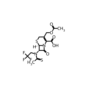 CC(=O)OCC1=C(C(=O)O)N2C(=O)[C@@H](N(CC(F)(F)F)C(C)=S)[C@H]2SC1